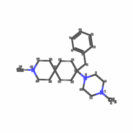 CN1CCN(C2(Cc3ccccc3)CCC3(CCN(C(C)(C)C)CC3)CC2)CC1